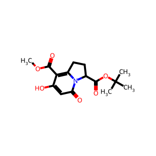 COC(=O)c1c(O)cc(=O)n2c1CCC2C(=O)OC(C)(C)C